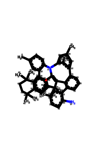 Bc1ccc(N2C3=C(c4c(-c5cc(C)ccc5N)cccc4-c4cc(C)cc2c4B)C(C)(C)c2cc4c(cc23)C(C)(C)CCC4(C)C)c(-c2ccccc2)c1